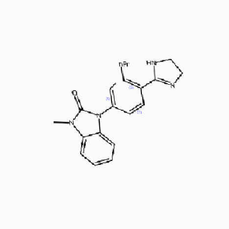 C\C=C(/C=C\C(=C\CCC)C1=NCCN1)n1c(=O)n(C)c2ccccc21